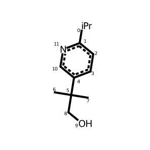 CC(C)c1ccc(C(C)(C)CO)cn1